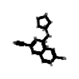 N#Cc1cc2cnc(Cl)cc2c(O[C@@H]2CCOC2)n1